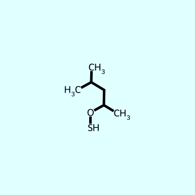 CC(C)CC(C)OS